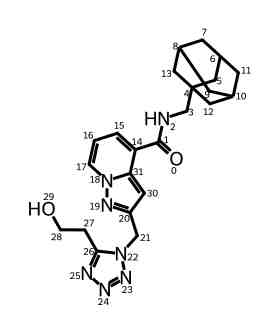 O=C(NCC12CC3CC(CC(C3)C1)C2)c1cccn2nc(Cn3nnnc3CCO)cc12